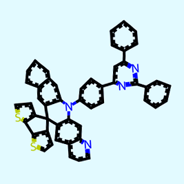 c1ccc(-c2cc(-c3ccc(N4c5cc6ccccc6cc5C5(c6cc7cccnc7cc64)c4ccsc4-c4sccc45)cc3)nc(-c3ccccc3)n2)cc1